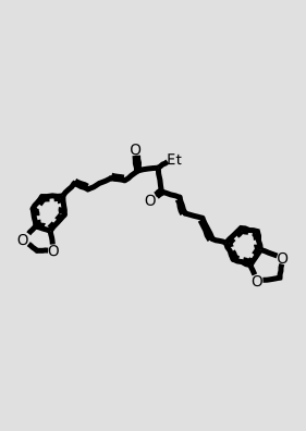 CCC(C(=O)C=CC=Cc1ccc2c(c1)OCO2)C(=O)C=CC=Cc1ccc2c(c1)OCO2